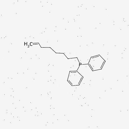 C=CCCCCCCP(c1ccccc1)c1ccccc1